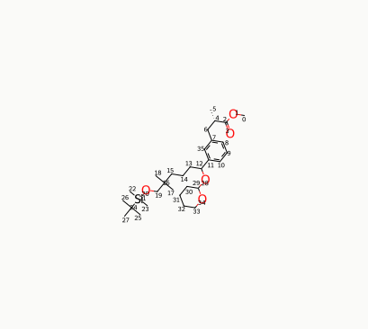 COC(=O)[C@@H](C)Cc1cccc(C(CCCC(C)(C)CO[Si](C)(C)C(C)(C)C)OC2CCCCO2)c1